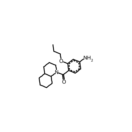 CCCOc1cc(N)ccc1C(=O)N1CCCC2CCCCC21